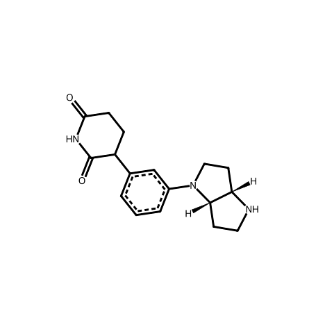 O=C1CCC(c2cccc(N3CC[C@@H]4NCC[C@@H]43)c2)C(=O)N1